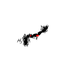 CCOc1cc(N2CCC(N3CCN(CCc4cc5oc(=O)n(C6CCC(=O)NC6=O)c5cc4F)CC3)CC2)c(CC)cc1Nc1ncc(Br)c(Nc2ccc3c(=O)n(CC)ncc3c2P(C)(C)=O)n1